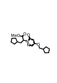 COC(=O)C(CC1CCCC1)n1ncc(OCC2CCCC2)cc1=O